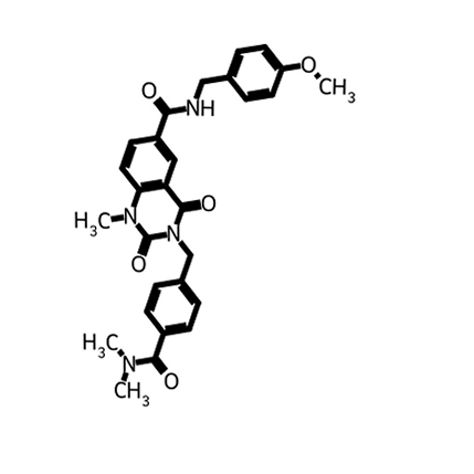 COc1ccc(CNC(=O)c2ccc3c(c2)c(=O)n(Cc2ccc(C(=O)N(C)C)cc2)c(=O)n3C)cc1